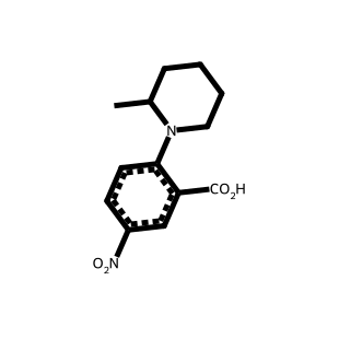 CC1CCCCN1c1ccc([N+](=O)[O-])cc1C(=O)O